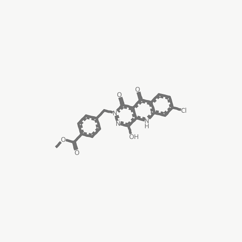 COC(=O)c1ccc(Cn2nc(O)c3[nH]c4cc(Cl)ccc4c(=O)c3c2=O)cc1